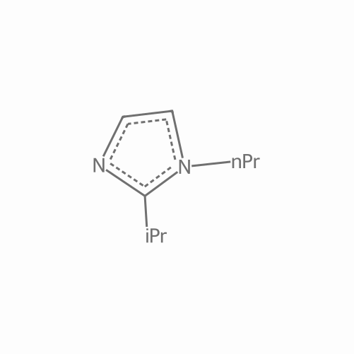 CCCn1ccnc1C(C)C